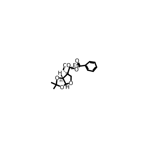 CCOC(=O)C[C@]1(COC(=O)c2ccccc2)CO[C@@H]2OC(C)(C)O[C@@H]21